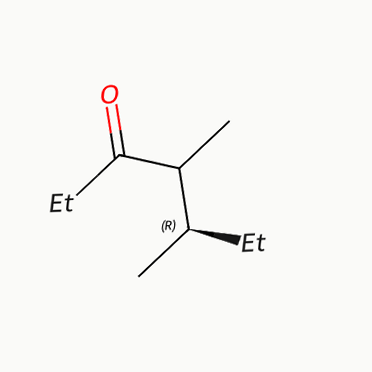 CCC(=O)C(C)[C@H](C)CC